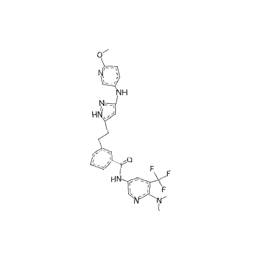 COc1ccc(Nc2cc(CCc3cccc(C(=O)Nc4cnc(N(C)C)c(C(F)(F)F)c4)c3)[nH]n2)cn1